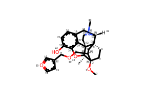 CO[C@]12CC[C@@]3(C[C@]1(C)COCc1ccoc1)[C@H]1Cc4ccc(O)c5c4[C@@]3(CCN1C)C2O5